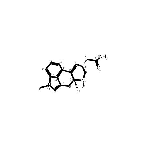 CN1C[C@@H](CC(N)=O)C=C2c3cccc4c3c(cn4C)C[C@H]21